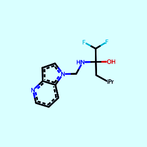 CC(C)CC(O)(NCn1ccc2ncccc21)C(F)F